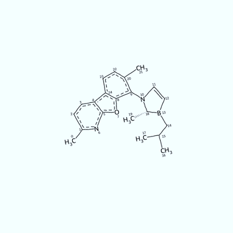 Cc1ccc2c(n1)oc1c(N3C=CB(CC(C)C)[C@@H]3C)c(C)ccc12